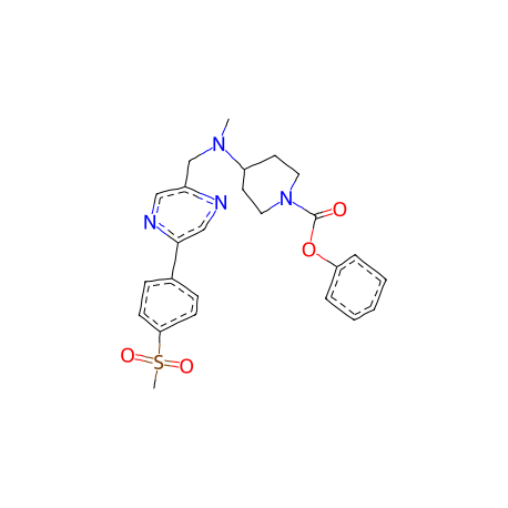 CN(Cc1cnc(-c2ccc(S(C)(=O)=O)cc2)cn1)C1CCN(C(=O)Oc2ccccc2)CC1